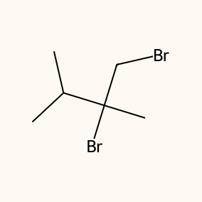 CC(C)C(C)(Br)CBr